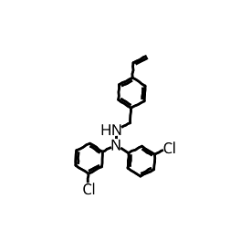 C=Cc1ccc(CNN(c2cccc(Cl)c2)c2cccc(Cl)c2)cc1